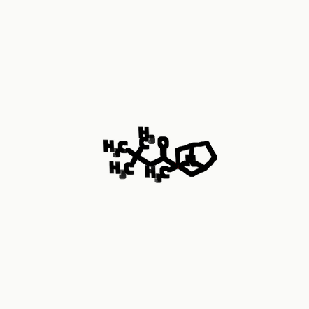 CC1CC2CCC(C1)N2CC(=O)CC(C)(C)C